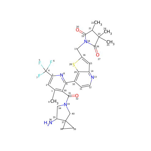 Cc1cc(C(F)(F)F)nc(-c2ccnc3cc(CN4C(=O)C(C)C(C)(C)C4=O)sc23)c1C(=O)N1CC(N)C2(CC2)C1